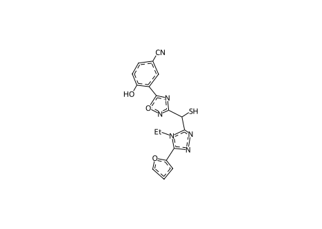 CCn1c(-c2ccco2)nnc1C(S)c1noc(-c2cc(C#N)ccc2O)n1